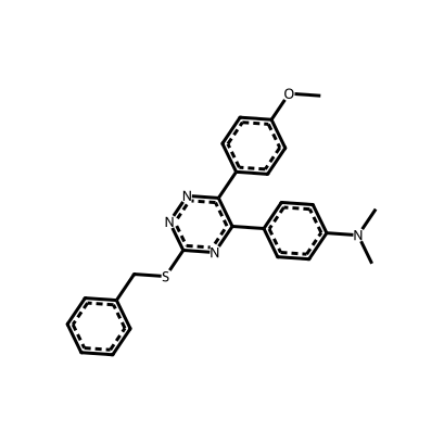 COc1ccc(-c2nnc(SCc3ccccc3)nc2-c2ccc(N(C)C)cc2)cc1